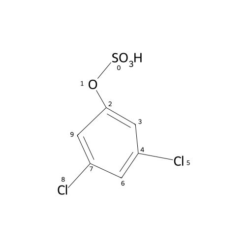 O=S(=O)(O)Oc1cc(Cl)cc(Cl)c1